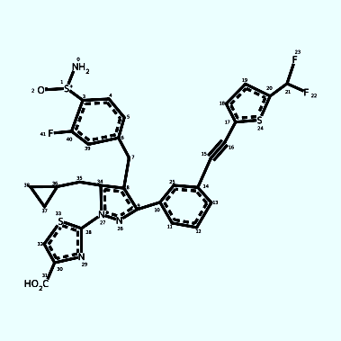 N[S+]([O-])c1ccc(Cc2c(-c3cccc(C#Cc4ccc(C(F)F)s4)c3)nn(-c3nc(C(=O)O)cs3)c2CC2CC2)cc1F